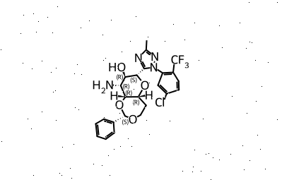 Cc1nc([C@@H]2O[C@@H]3CCO[C@H](c4ccccc4)O[C@@H]3[C@H](N)[C@H]2O)n(-c2cc(Cl)ccc2C(F)(F)F)n1